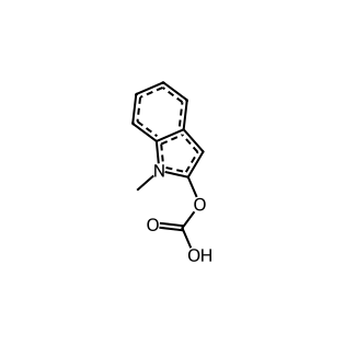 Cn1c(OC(=O)O)cc2ccccc21